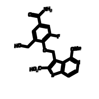 COc1nccc2sc(C(=O)O)c(COc3c(F)cc(C(N)=O)cc3CO)c12